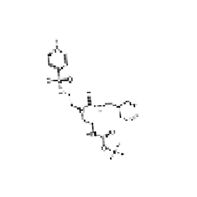 Cc1ccc(S(=O)(=O)OCCN(CCNC(=O)OC(C)(C)C)C(=O)OCc2ccccc2)cc1